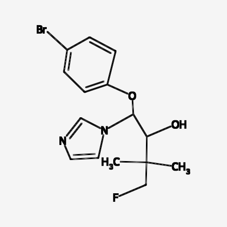 CC(C)(CF)C(O)C(Oc1ccc(Br)cc1)n1ccnc1